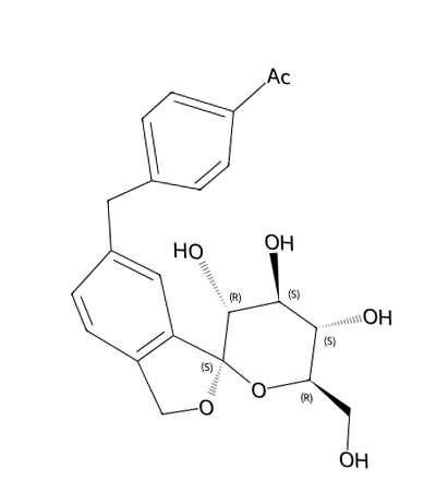 CC(=O)c1ccc(Cc2ccc3c(c2)[C@]2(OC3)O[C@H](CO)[C@@H](O)[C@H](O)[C@H]2O)cc1